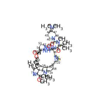 CCn1c(-c2cccnc2[C@H](C)OC)c2c3cc(ccc31)-c1csc(n1)C[C@H](NC(=O)[C@H](C(C)C)N(C)C(=O)N1CCC[C@H](N(C)C)CC1)C(=O)N1CCC[C@H](N1)C(=O)OCC(C)(C)C2